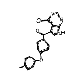 Cc1ccc(Oc2ccc(C(=O)c3c[nH]c4ncnc(Cl)c34)cc2)cc1